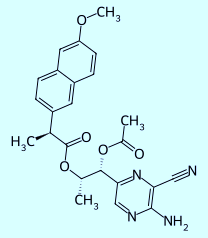 COc1ccc2cc([C@H](C)C(=O)O[C@@H](C)[C@H](OC(C)=O)c3cnc(N)c(C#N)n3)ccc2c1